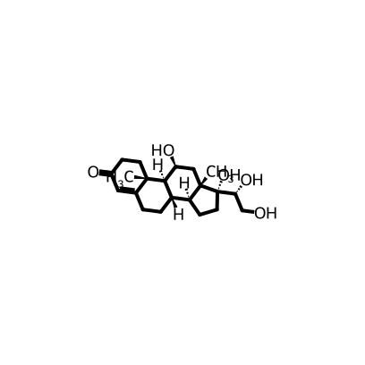 C[C@]12CCC(=O)C=C1CC[C@@H]1[C@@H]2[C@@H](O)C[C@@]2(C)[C@H]1CC[C@]2(O)[C@H](O)CO